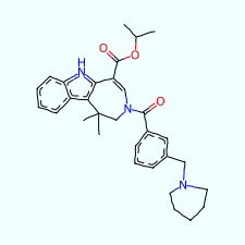 CC(C)OC(=O)C1=CN(C(=O)c2cccc(CN3CCCCC3)c2)CC(C)(C)c2c1[nH]c1ccccc21